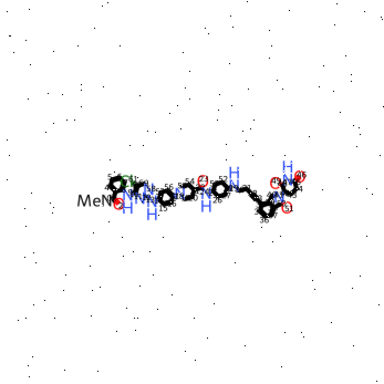 CNC(=O)c1ccccc1Nc1nc(Nc2ccc(N3CCC(C(=O)N[C@H]4CC[C@@H](NCCC#Cc5cccc6c5CN(C5CCC(=O)NC5=O)C6=O)CC4)CC3)cc2)ncc1Cl